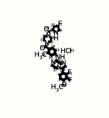 COc1ccc(-c2cnc3c(Nc4ccc(C(=O)N5CCN(C(=O)[C@@H]6C[C@@H](F)CN6)CC5)c(C)c4)nccn23)c(F)c1F.Cl